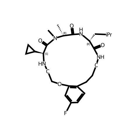 CC(C)C[C@H]1NC(=O)[C@@H](C)N(C)C(=O)[C@H](C2CC2)NCCOc2cc(F)ccc2CCCNC1=O